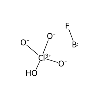 [B]F.[O-][Cl+3]([O-])([O-])O